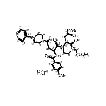 COC(=O)C[C@H]1C(=O)N(CC(=O)O)CCN1C(=O)C(CC(=O)N1CCN(c2ccncc2)CC1)NC(=O)c1ccc(OC)cc1.Cl